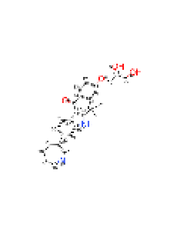 CC1(C)c2cc(OC[C@H](O)CO)ccc2C(=O)c2c1[nH]c1cc(C3=CN=CCCC3)ccc21